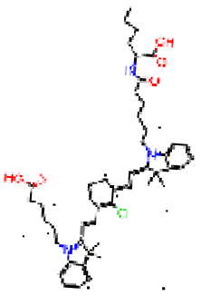 CCCCC(NC(=O)CCCCCN1/C(=C/C=C2\CCCC(/C=C/C3=[N+](CCCCCC(=O)O)c4ccccc4C3(C)C)=C2Cl)C(C)(C)c2ccccc21)C(=O)O